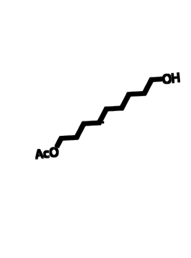 CC(=O)OCCC[CH]CCCCCO